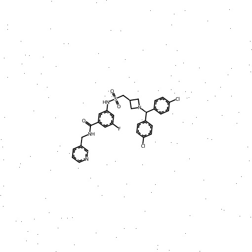 O=C(NCc1cccnc1)c1cc(F)cc(NS(=O)(=O)CC2CN(C(c3ccc(Cl)cc3)c3ccc(Cl)cc3)C2)c1